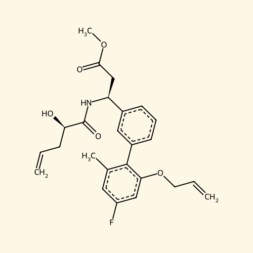 C=CCOc1cc(F)cc(C)c1-c1cccc([C@H](CC(=O)OC)NC(=O)[C@H](O)CC=C)c1